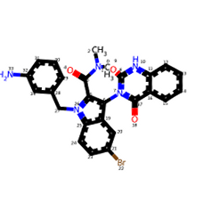 CN(C)C(=O)c1c(-n2c(=O)[nH]c3ccccc3c2=O)c2cc(Br)ccc2n1Cc1cccc(N)c1